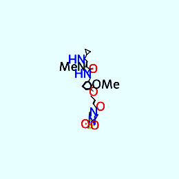 CN/C(=C\C(=N)C1CC1)C(=O)NCc1cccc(OC/C=C/C(=O)N2CCN(S(C)(=O)=O)CC2)c1OC